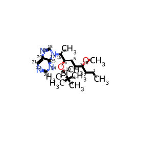 CCCC(CC[C@@H](O[Si](C)(C)C(C)(C)C)[C@H](C)n1cnc2cncnc21)OC